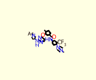 CC(=O)N1CCC(Nc2nccc(Oc3cc(C(=O)Nc4ccc(N5CCN(C)CC5)c(C(F)(F)F)c4)ccc3C)n2)C1